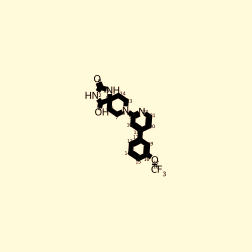 O=C1NC(O)C2(CCN(c3cc(-c4cccc(OC(F)(F)F)c4)ccn3)CC2)N1